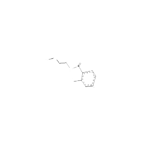 CCOCCOC(=O)c1ccccc1[C]=O